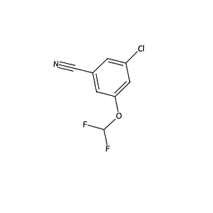 N#Cc1cc(Cl)cc(OC(F)F)c1